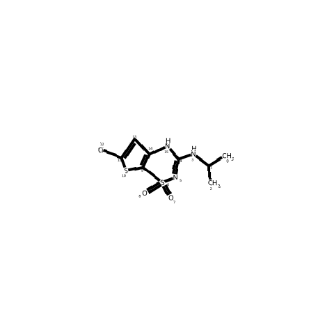 CC(C)NC1=NS(=O)(=O)c2sc(Cl)cc2N1